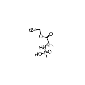 C[C@H](NP(C)(=O)O)C(=O)OCC(C)(C)C